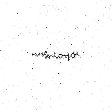 CN(C)c1ccc(NC(=O)OCc2ccc(CNCCCCN(O)C(=O)/C=C/C(=O)O)cc2)cc1